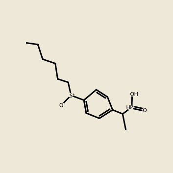 CCCCCC[S+]([O-])c1ccc(C(C)[PH](=O)O)cc1